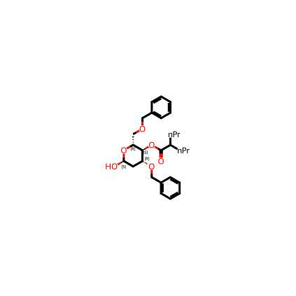 CCCC(CCC)C(=O)O[C@H]1[C@H](OCc2ccccc2)C[C@@H](O)O[C@@H]1COCc1ccccc1